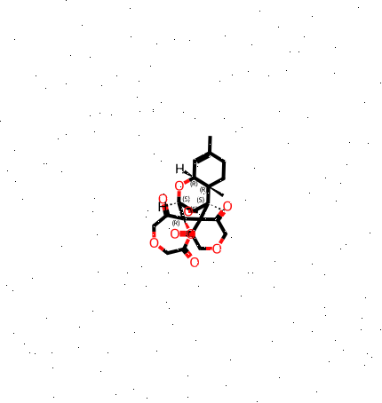 CC1=C[C@H]2O[C@H]3[C@@]4(CO4)[C@](C)(C4(C(=O)COCC4=O)[C@@]34OC(=O)COCC4=O)[C@@]2(C)CC1